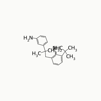 CC(C)(C)c1cccc(CC(C)(C)c2cccc(N)c2)c1N